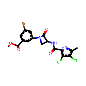 COC(=O)c1cc(Br)cc(N2CC(NC(=O)c3[nH]c(C)c(Cl)c3Cl)C2=O)c1